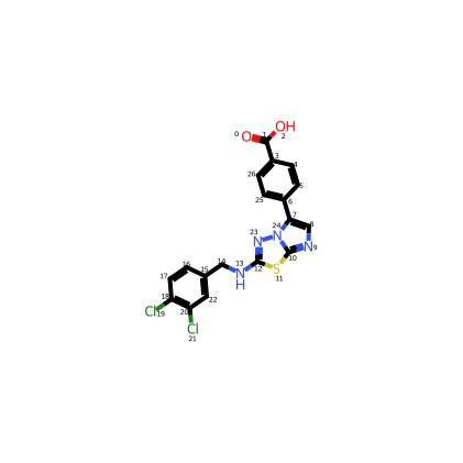 O=C(O)c1ccc(-c2cnc3sc(NCc4ccc(Cl)c(Cl)c4)nn23)cc1